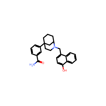 NC(=O)c1cccc(C23CCCC(C2)N(Cc2ccc(O)c4ccccc24)CC3)c1